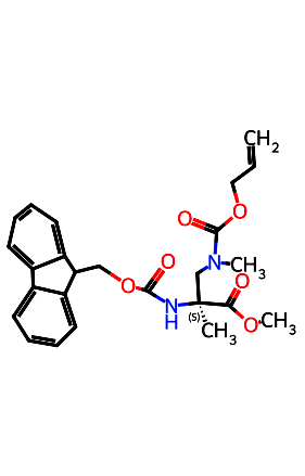 C=CCOC(=O)N(C)C[C@](C)(NC(=O)OCC1c2ccccc2-c2ccccc21)C(=O)OC